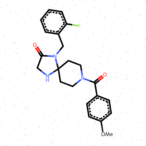 COc1ccc(C(=O)N2CCC3(CC2)NCC(=O)N3Cc2ccccc2F)cc1